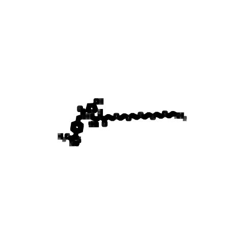 Cc1ncsc1-c1ccc(CNC(=O)[C@@H]2C[C@@H](O)CN2C[C@@H](NC(=O)CCOCCOCCOCCOCCOCCN)C(C)(C)C)cc1